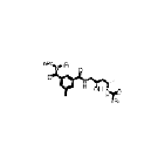 CCCCC(=O)N[C@@H](C)C[C@H](O)CNC(=O)c1cc(C)cc(C(=O)N(CCC)CCC)c1